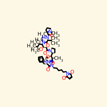 CC[C@H](C)[C@@H]([C@@H](CC(=O)N1CCC[C@H]1[C@H](OC)[C@@H](C)C(=O)N[C@@H](Cc1ccccc1)C(=O)NCCCCCCN1C(=O)C=CC1=O)OC)N(C)C(=O)[C@@H](NC(=O)[C@@]1(C)CCCN1C)C(C)C